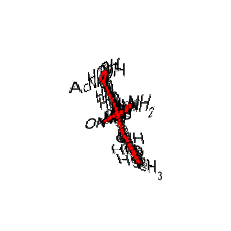 CC(=O)NC1C(O)[C@H](O)C(CO)O[C@H]1OCCCCC(=O)NCCCNC(=O)CCOCC(COCCC(=O)NCCCN)(COCCC(=O)NCCCN=O)NC(=O)CCCCCCCCCCC(=O)NCCCCCCNC(=O)/C=C/CSC(C)S